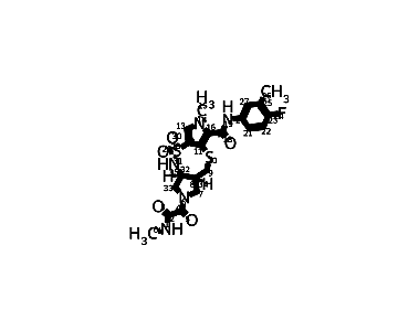 CNC(=O)C(=O)N1C[C@H]2CSc3c(cn(C)c3C(=O)Nc3ccc(F)c(C)c3)S(=O)(=O)N[C@H]2C1